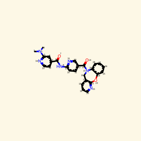 CN(C)c1cc(C(=O)Nc2ccc(C(=O)N3Cc4cccnc4Oc4ccccc43)cn2)ccn1